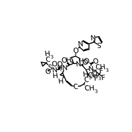 C[C@@H]1CC/C=C\[C@@H]2C[C@@]2(C(=O)NS(=O)(=O)C2(C)CC2)NC(=O)[C@@H]2C[C@@H](Oc3ccc(-c4nccs4)cn3)CN2C(=O)[C@@H](N(C(=O)O)C(C)(C)C(F)(F)F)[C@H](C)C1